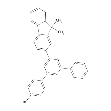 CC1(C)c2ccccc2-c2ccc(-c3cc(-c4ccc(Br)cc4)cc(-c4ccccc4)n3)cc21